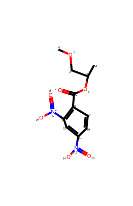 COCC(C)OC(=O)c1ccc([N+](=O)[O-])cc1[N+](=O)[O-]